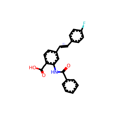 O=C(Nc1cc(/C=C/c2ccc(F)cc2)ccc1C(=O)O)c1ccccc1